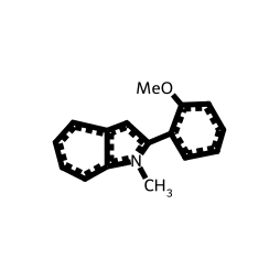 COc1ccccc1-c1cc2ccccc2n1C